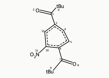 CC(C)(C)C(=O)c1ccc(C(=O)C(C)(C)C)c([N+](=O)[O-])c1